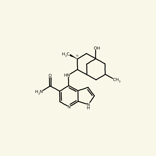 CC1CC2CC(O)(C1)C[C@H](C)C2Nc1c(C(N)=O)cnc2[nH]ccc12